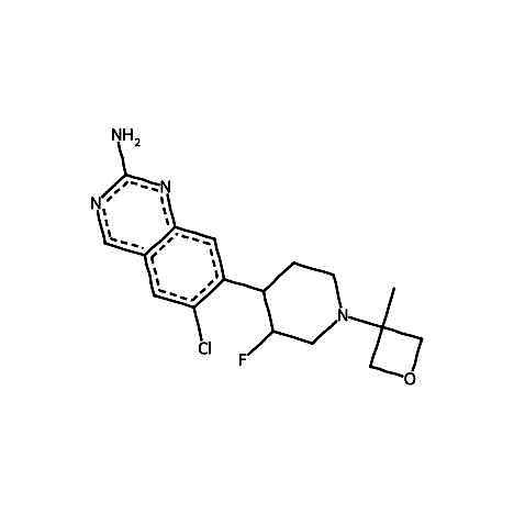 CC1(N2CCC(c3cc4nc(N)ncc4cc3Cl)C(F)C2)COC1